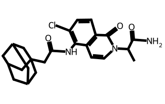 CC(C(N)=O)n1ccc2c(NC(=O)CC34CC5CC(CC(C5)C3)C4)c(Cl)ccc2c1=O